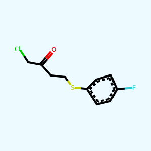 O=C(CCl)CCSc1ccc(F)cc1